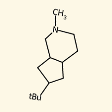 CN1CCC2CC(C(C)(C)C)CC2C1